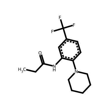 CCC(=O)Nc1cc(C(F)(F)F)ccc1N1CCCCC1